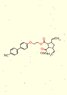 C=CC1CC(C=C)C(C(=O)OCCOc2ccc(-c3ccc(C#N)cc3)cc2)C1C(=O)OC